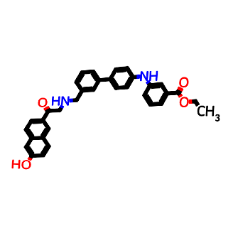 CCOC(=O)c1cccc(Nc2ccc(-c3cccc(CNCC(=O)c4ccc5cc(O)ccc5c4)c3)cc2)c1